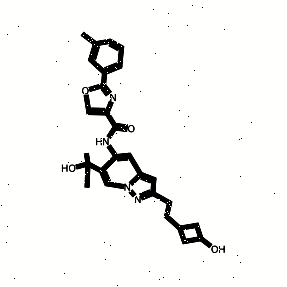 Cc1cccc(-c2nc(C(=O)Nc3cc4cc(CCC5CC(O)C5)nn4cc3C(C)(C)O)co2)c1